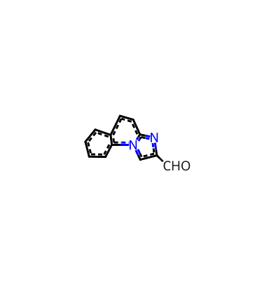 O=Cc1cn2c(ccc3ccccc32)n1